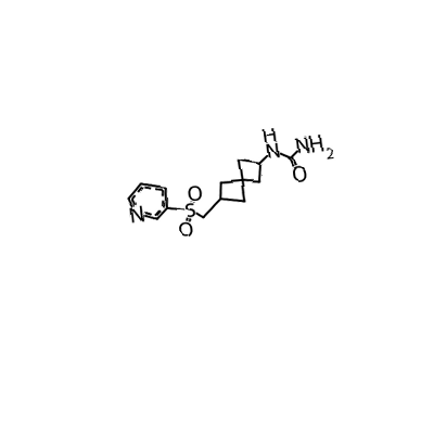 NC(=O)NC1CC2(CC(CS(=O)(=O)c3cccnc3)C2)C1